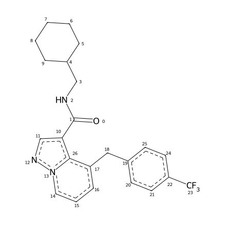 O=C(NCC1CCCCC1)c1cnn2cccc(Cc3ccc(C(F)(F)F)cc3)c12